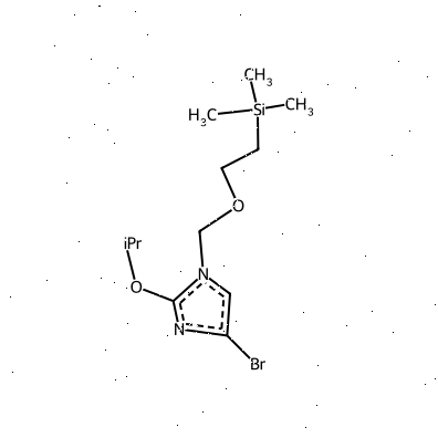 CC(C)Oc1nc(Br)cn1COCC[Si](C)(C)C